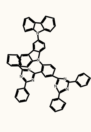 c1ccc(-c2nc(-c3ccccc3)nc(-c3ccc(-n4c5ccccc5c5cc(-n6c7ccccc7c7ccccc76)ccc54)c(-c4nc(-c5ccccc5)nc(-c5ccccc5)n4)c3)n2)cc1